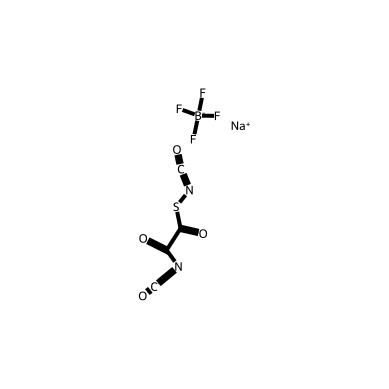 F[B-](F)(F)F.O=C=NSC(=O)C(=O)N=C=O.[Na+]